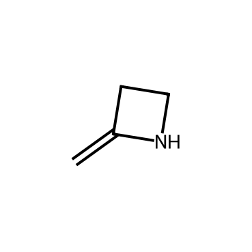 C=C1CCN1